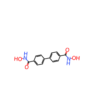 O=C(NO)c1ccc(-c2ccc(C(=O)NO)cc2)cc1